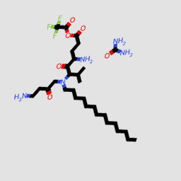 CCCCCCCCCCCCCCN(CC(=O)CCN)C(C(=O)C(N)CCC(=O)OC(=O)C(F)(F)F)C(C)C.NC(N)=O